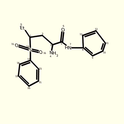 CCC(CC(N)C(=O)Nc1ccccc1)S(=O)(=O)c1ccccc1